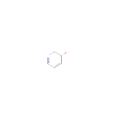 O[C@H]1C=CC=NC1